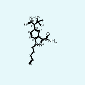 C=CCCCn1nc(C(N)=O)c2cc(C(C(N)=O)C(C)(C)C)ccc21